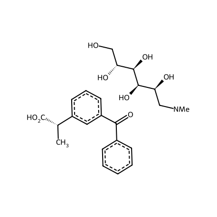 CNC[C@H](O)[C@@H](O)[C@H](O)[C@H](O)CO.C[C@H](C(=O)O)c1cccc(C(=O)c2ccccc2)c1